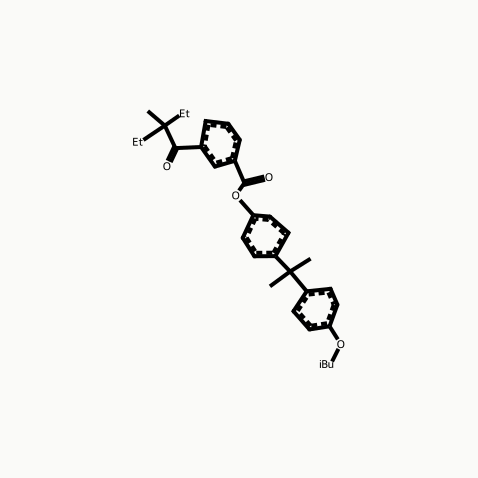 CCC(C)Oc1ccc(C(C)(C)c2ccc(OC(=O)c3cccc(C(=O)C(C)(CC)CC)c3)cc2)cc1